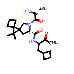 CC(C)(C)[C@@H](N)C(=O)N1CC2(C[C@H]1C(=O)NC(CC1CCC1)C(=O)C=O)C(C)(C)C21CCC1